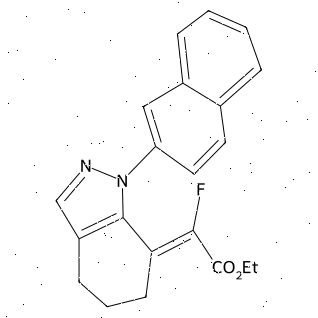 CCOC(=O)C(F)=C1CCCc2cnn(-c3ccc4ccccc4c3)c21